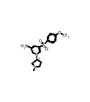 CN1CC[C@H](N2C=C(S(=O)(=O)c3ccc(OC(F)(F)F)cc3)C=C(N)C2)C1